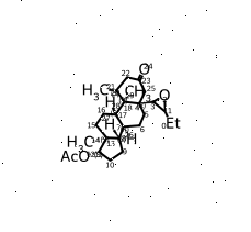 CCC1OC1[C@@]12CC[C@H]3[C@@H]4CC[C@H](OC(C)=O)[C@@]4(C)CC[C@@H]3[C@@]1(C)[C@@H](C)CC(=O)C2